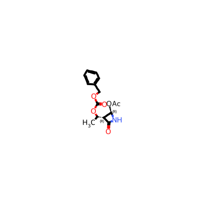 CC(=O)O[C@H]1NC(=O)[C@@H]1C(C)OC(=O)OCc1ccccc1